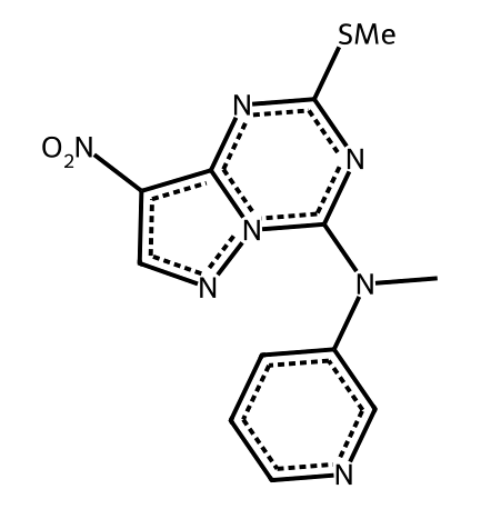 CSc1nc(N(C)c2cccnc2)n2ncc([N+](=O)[O-])c2n1